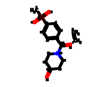 C=C.CS(=O)(=O)c1ccc(C(=O)N2CCC(=O)CC2)cc1